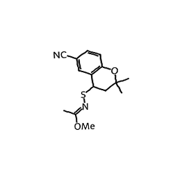 CO/C(C)=N/SC1CC(C)(C)Oc2ccc(C#N)cc21